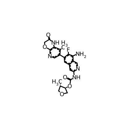 Cc1c(-c2cc3cc(NC(=O)O[C@H]4COC[C@@H]4C)ncc3c(N)c2F)cnc2c1NC(=O)CO2